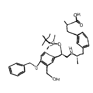 CC(Cc1cccc(C[C@@H](C)NC[C@H](O[Si](C)(C)C(C)(C)C)c2ccc(OCc3ccccc3)c(CO)c2)c1)C(=O)O